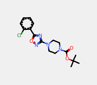 CC(C)(C)OC(=O)N1CCN(c2noc(-c3ccccc3Cl)n2)CC1